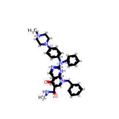 CNC(=O)c1cn(Cc2ccccc2)c2nc(N(c3ccccc3)c3ccc(N4CCN(C)CC4)cc3)ncc2c1=O